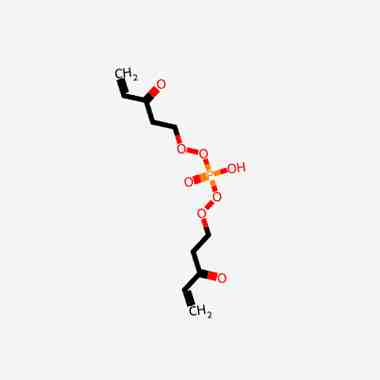 C=CC(=O)CCOOP(=O)(O)OOCCC(=O)C=C